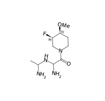 CO[C@H]1CCN(C(=O)C(N)NC(C)N)C[C@H]1F